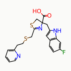 O=C(O)C1(Cc2cc3ccc(F)cc3[nH]2)CSC(CSCCc2ccccn2)=N1